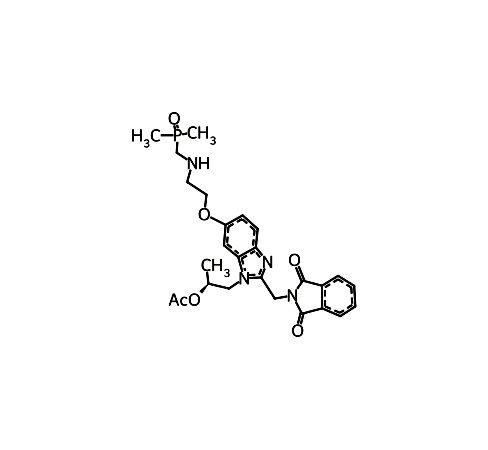 CC(=O)O[C@@H](C)Cn1c(CN2C(=O)c3ccccc3C2=O)nc2ccc(OCCNCP(C)(C)=O)cc21